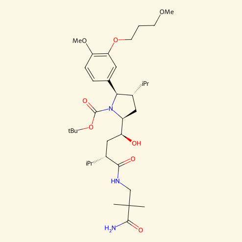 COCCCOc1cc([C@H]2[C@H](C(C)C)C[C@@H]([C@@H](O)C[C@H](C(=O)NCC(C)(C)C(N)=O)C(C)C)N2C(=O)OC(C)(C)C)ccc1OC